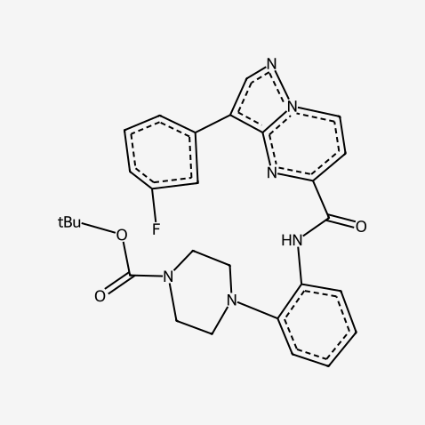 CC(C)(C)OC(=O)N1CCN(c2ccccc2NC(=O)c2ccn3ncc(-c4cccc(F)c4)c3n2)CC1